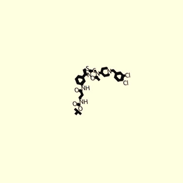 CC(=O)N(Sc1nc(-c2cccc(NC(=O)CCNC(=O)OC(C)(C)C)c2)cs1)C1CCN(Cc2ccc(Cl)c(Cl)c2)CC1